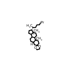 CC(C)CCCC(C)[C@H]1CCC2C3CC[C@H]4CC5(CC[C@]4(C)C3CC[C@@]21C)OCCO5